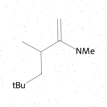 C=C(NC)C(C)CC(C)(C)C